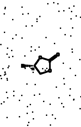 CC[C@H]1COS(=O)O1